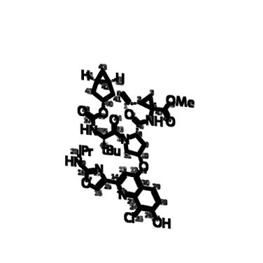 C=C[C@@H]1CC1(NC(=O)[C@@H]1C[C@@H](Oc2cc(-c3coc(NC(C)C)n3)nc3c(Cl)c(O)ccc23)CN1C(=O)[C@@H](NC(=O)O[C@@H]1C[C@@H]2C[C@@H]2C1)C(C)(C)C)C(=O)OC